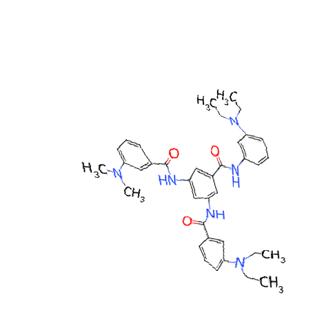 CCN(CC)c1cccc(NC(=O)c2cc(NC(=O)c3cccc(N(C)C)c3)cc(NC(=O)c3cccc(N(CC)CC)c3)c2)c1